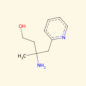 CC(N)(CCO)Cc1ccccn1